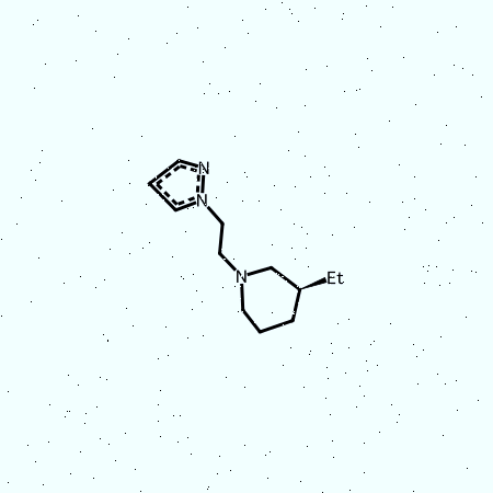 CC[C@H]1CCCN(CCn2cccn2)C1